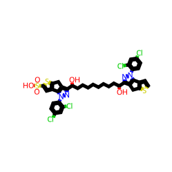 O=S(=O)(O)c1cc2c(s1)Cc1c(C(O)CCCCCCCCC(O)c3nn(-c4ccc(Cl)cc4Cl)c4c3Cc3sccc3-4)nn(-c3ccc(Cl)cc3Cl)c1-2